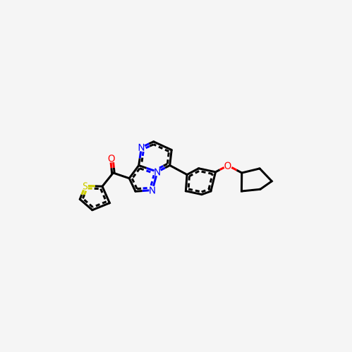 O=C(c1cccs1)c1cnn2c(-c3cccc(OC4CCCC4)c3)ccnc12